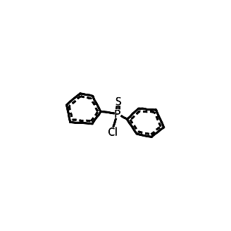 S=P(Cl)(c1ccccc1)c1ccccc1